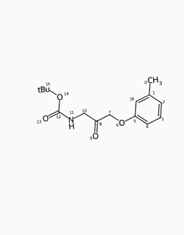 Cc1cccc(OCC(=O)CNC(=O)OC(C)(C)C)c1